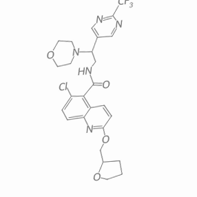 O=C(NCC(c1cnc(C(F)(F)F)nc1)N1CCOCC1)c1c(Cl)ccc2nc(OCC3CCCO3)ccc12